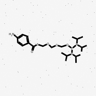 CC(C)N(C(C)C)P(OCOCOCSC(=O)c1ccc(N)cc1)N(C(C)C)C(C)C